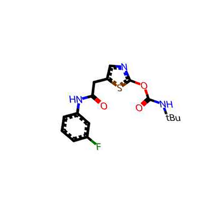 CC(C)(C)NC(=O)Oc1ncc(CC(=O)Nc2cccc(F)c2)s1